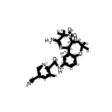 Cc1cc(C#N)cnc1C(=O)Nc1ccc2c(c1)[C@@]1(C)N=C(N)C(C)(C)S(=O)(=O)[C@@H]1CC(C)(C)O2